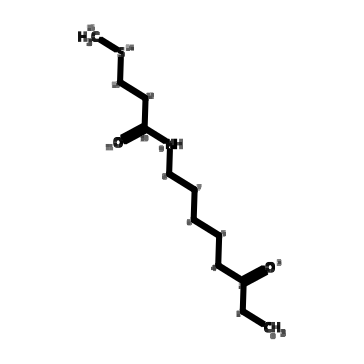 CCC(=O)CCCCCNC(=O)CCSC